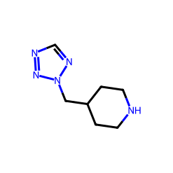 c1nnn(CC2CCNCC2)n1